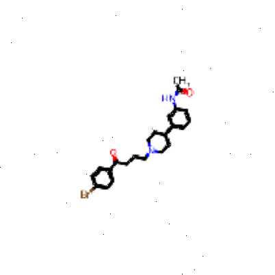 CC(=O)Nc1cccc(C2CCN(CCCC(=O)c3ccc(Br)cc3)CC2)c1